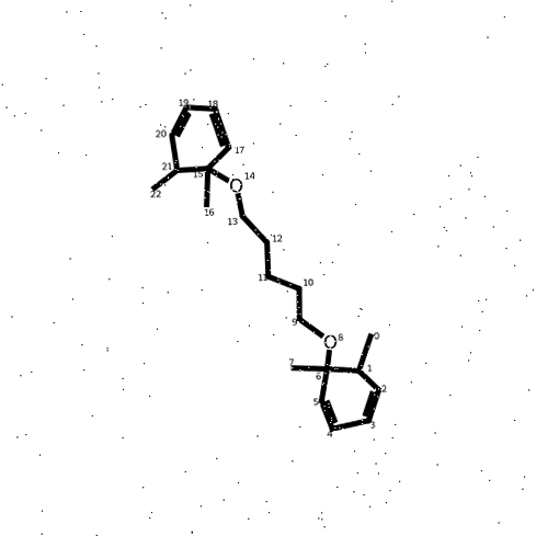 CC1C=CC=CC1(C)OCCCCCOC1(C)C=CC=CC1C